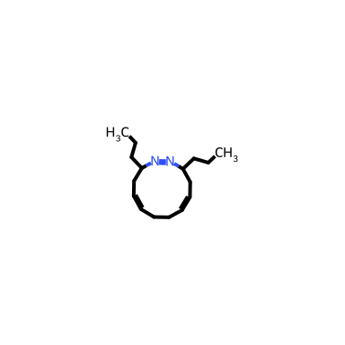 CCCC1CC=CCCC=CCC(CCC)N=N1